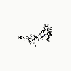 O=C(O)c1nc(C(F)(F)F)n2cc(N3CCC(/C=C/c4c(-c5c(Cl)cccc5Cl)noc4C4CC4)CC3)ccc12